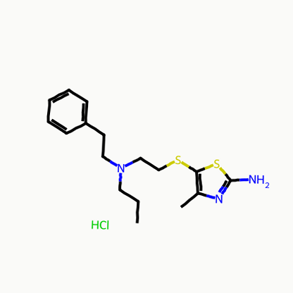 CCCN(CCSc1sc(N)nc1C)CCc1ccccc1.Cl